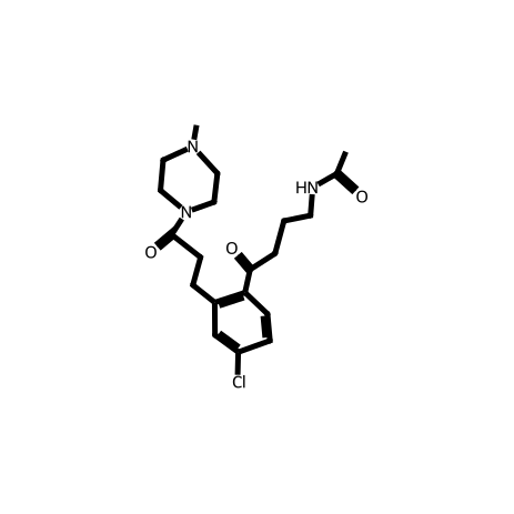 CC(=O)NCCCC(=O)c1ccc(Cl)cc1CCC(=O)N1CCN(C)CC1